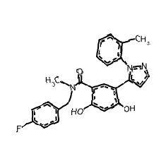 Cc1ccccc1-n1nccc1-c1cc(C(=O)N(C)Cc2ccc(F)cc2)c(O)cc1O